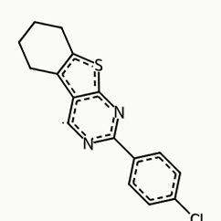 Clc1ccc(-c2n[c]c3c4c(sc3n2)CCCC4)cc1